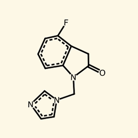 O=C1Cc2c(F)cccc2N1Cn1ccnc1